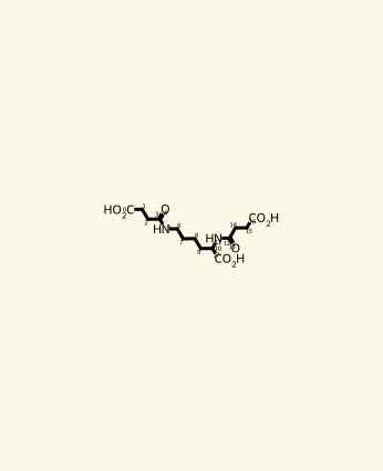 O=C(O)CCC(=O)NCCCCC(NC(=O)CCC(=O)O)C(=O)O